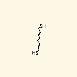 SCC=CCCC=CCS